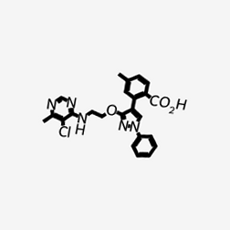 Cc1ccc(C(=O)O)c(-c2cn(-c3ccccc3)nc2OCCNc2ncnc(C)c2Cl)c1